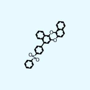 O=S(=O)(c1ccccc1)c1ccc(-c2cc3c(c4ccccc24)Oc2c(ccc4ccccc24)O3)cc1